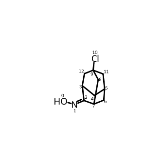 ON=C1C2CC3CC1CC(Cl)(C3)C2